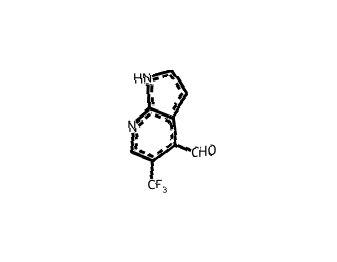 O=Cc1c(C(F)(F)F)cnc2[nH]ccc12